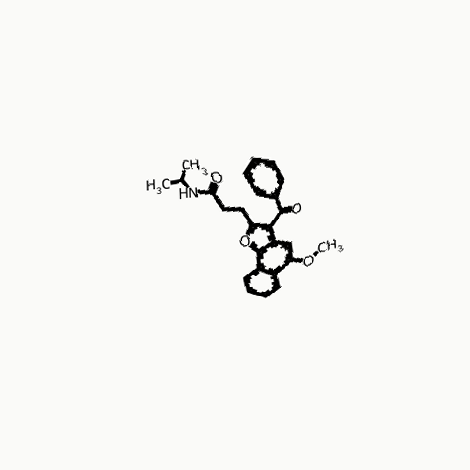 COc1cc2c(C(=O)c3ccccc3)c(CCC(=O)NC(C)C)oc2c2ccccc12